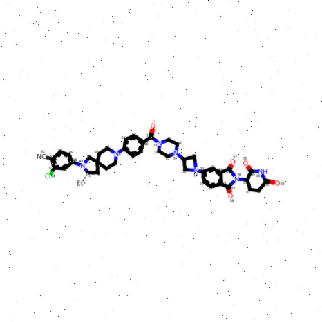 CC[C@H]1CC2(CCN(c3ccc(C(=O)N4CCN(C5CN(c6ccc7c(c6)C(=O)N(C6CCC(=O)NC6=O)C7=O)C5)CC4)cc3)CC2)CN1c1ccc(C#N)c(Cl)c1